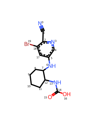 N#Cc1ncc(NC2CCCCC2NC(=O)O)cc1Br